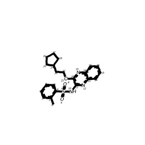 Cc1ccccc1S(=O)(=O)Nc1nc2ccccc2nc1OCCC1CCCC1